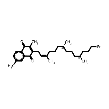 CC(=CCC1=C(C)C(=O)c2ccc(C)cc2C1=O)CCC[C@H](C)CCC[C@H](C)CCCC(C)C